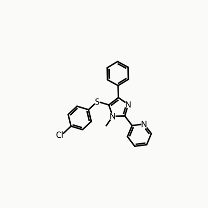 Cn1c(-c2ccccn2)nc(-c2ccccc2)c1Sc1ccc(Cl)cc1